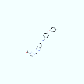 CC(=O)c1ccn(C(=O)N2C[C@H]3C[C@@H](NCc4ccc(Oc5ccc(Cl)cc5)cc4)C[C@H]3C2)n1